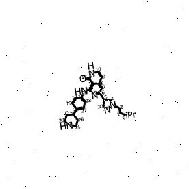 CC(C)CCN1CC(c2cc3cc[nH]c(=O)c3c(Nc3ccc(C4CCNCC4)cc3)n2)C=N1